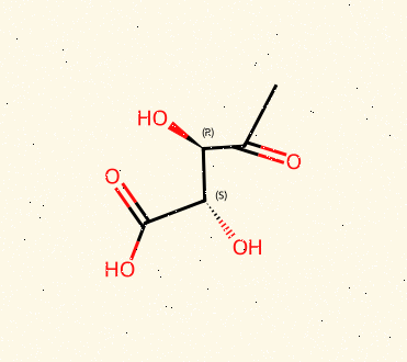 CC(=O)[C@H](O)[C@H](O)C(=O)O